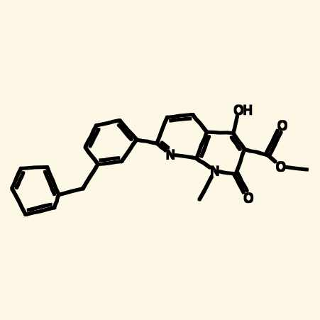 COC(=O)c1c(O)c2ccc(-c3cccc(Cc4ccccc4)c3)nc2n(C)c1=O